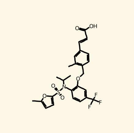 Cc1ccc(S(=O)(=O)N(c2ccc(C(F)(F)F)cc2OCc2ccc(/C=C/C(=O)O)cc2C)C(C)C)o1